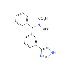 CCCN(C(=O)O)C(c1ccccc1)c1cccc(-c2c[nH]cn2)c1